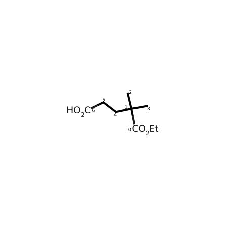 CCOC(=O)C(C)(C)CCC(=O)O